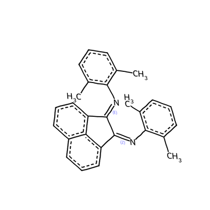 Cc1cccc(C)c1/N=C1\C(=N\c2c(C)cccc2C)c2cccc3cccc1c23